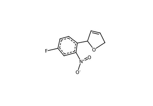 O=[N+]([O-])c1cc(F)ccc1C1C=CCO1